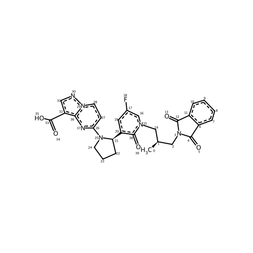 C[C@H](CN1C(=O)c2ccccc2C1=O)Cn1cc(F)cc([C@H]2CCCN2c2ccn3ncc(C(=O)O)c3n2)c1=O